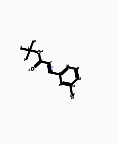 CC(C)(C)OC(=O)/C=C/c1cccc(Br)c1